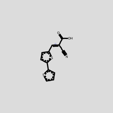 N#C/C(=C\c1ccc(-c2cccs2)s1)C(=O)O